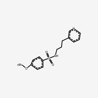 CCCCOc1ccc(S(=O)(=O)NCCCc2cccnc2)cc1